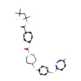 Cc1ccc(Oc2ccc(OC3CCN(C(=O)Oc4ccc(C(=O)NC(C)(C)CC(C)(C)C)cc4)CC3)cc2)nc1